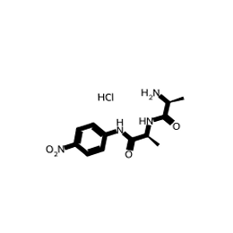 C[C@H](N)C(=O)N[C@@H](C)C(=O)Nc1ccc([N+](=O)[O-])cc1.Cl